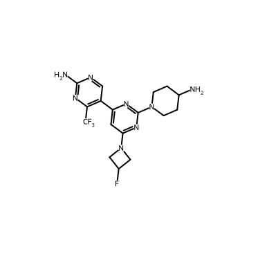 Nc1ncc(-c2cc(N3CC(F)C3)nc(N3CCC(N)CC3)n2)c(C(F)(F)F)n1